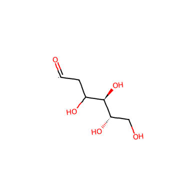 O=[C]CC(O)[C@@H](O)[C@@H](O)CO